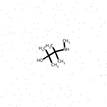 CNC(C)(C)C(C)(C)O